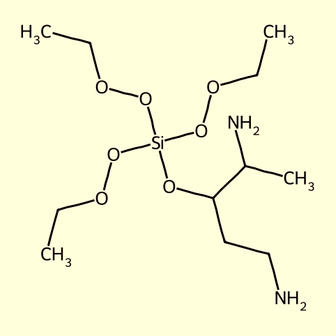 CCOO[Si](OOCC)(OOCC)OC(CCN)C(C)N